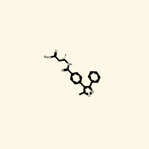 COC(=O)C[C@H](C)NC(=O)c1ccc(-c2c(-c3ccccc3)noc2C)cc1